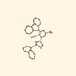 CC(C)(C)c1cc(-c2csc(-c3cccc4ccccc34)n2)c(O)c(-n2c3ccccc3c3ccccc32)c1